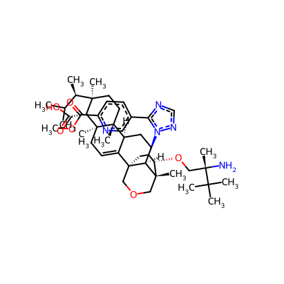 COC(=O)c1ccc(-c2ncnn2[C@@H]2C[C@@]34COC[C@](C)([C@@H]3CC[C@H]3C4=CC[C@@]4(C)[C@H](C(=O)O)[C@@](C)([C@H](C)C(C)C)CC[C@]34C)[C@H]2OC[C@](C)(N)C(C)(C)C)cn1